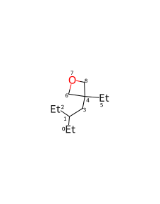 CCC(CC)CC1(CC)COC1